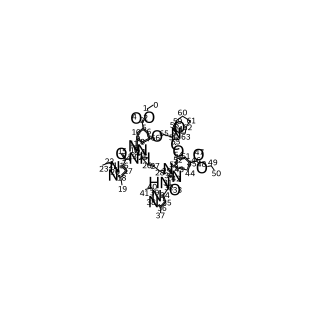 CCOC(=O)c1cc2c3c(c1)nc(NC(=O)c1cc(C)nn1CC)n3C/C=C/Cn1c(NC(=O)c3cc(C)nn3CC)nc3cc(C(=O)OCC)cc(c31)OCC(N1CC3CCC(C1)O3)CO2